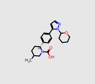 CC1CC[C@H](c2ccc(-c3ccnn3C3CCCCO3)cc2)N(C(=O)O)C1